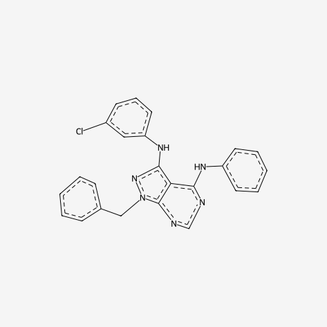 Clc1cccc(Nc2nn(Cc3ccccc3)c3ncnc(Nc4ccccc4)c23)c1